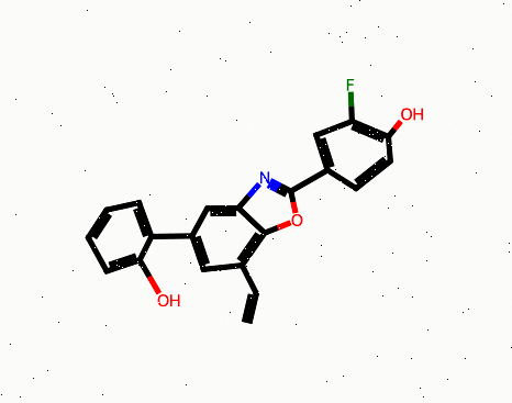 C=Cc1cc(-c2ccccc2O)cc2nc(-c3ccc(O)c(F)c3)oc12